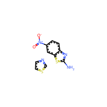 Nc1nc2ccc([N+](=O)[O-])cc2s1.c1cscn1